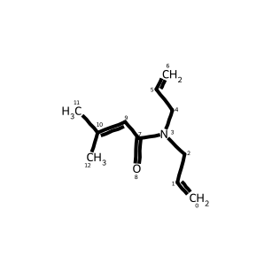 C=CCN(CC=C)C(=O)C=C(C)C